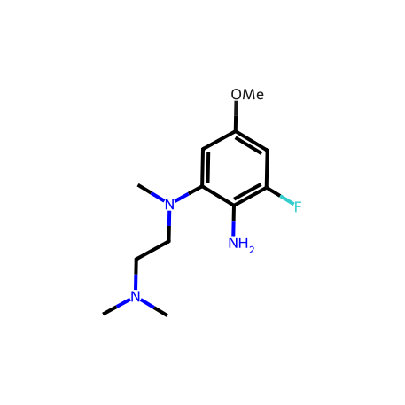 COc1cc(F)c(N)c(N(C)CCN(C)C)c1